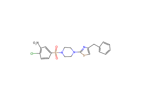 O=[N+]([O-])c1cc(S(=O)(=O)N2CCN(c3nc(Cc4ccccc4)cs3)CC2)ccc1Cl